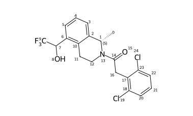 C[C@H]1c2cccc(C(O)C(F)(F)F)c2CCN1C(=O)Cc1c(Cl)cccc1Cl